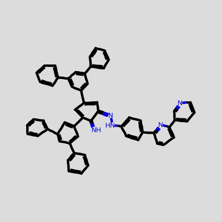 N=C1C(c2cc(-c3ccccc3)cc(-c3ccccc3)c2)=CC(c2cc(-c3ccccc3)cc(-c3ccccc3)c2)=C/C1=N/Nc1ccc(-c2cccc(-c3cccnc3)n2)cc1